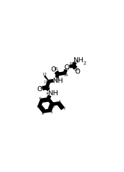 C=Cc1ccccc1NC(=O)[C@@H](C)NC(=O)COC(N)=O